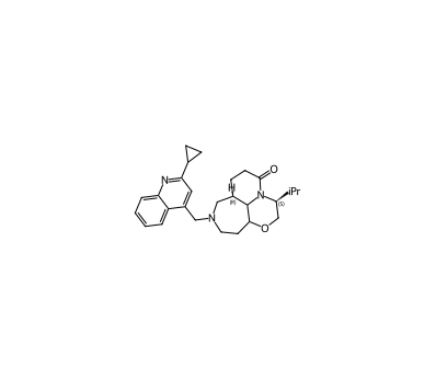 CC(C)[C@H]1COC2CCN(Cc3cc(C4CC4)nc4ccccc34)C[C@H]3CCC(=O)N1C23